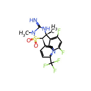 CN1C(=N)N[C@](C)(c2ccc(F)cc2F)[C@@H](c2ccc(C(F)(F)F)nc2)S1(=O)=O